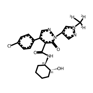 [2H]C([2H])([2H])n1cc(-n2ncc(-c3ccc(Cl)cc3)c(C(=O)N[C@@H]3CCCC[C@H]3O)c2=O)cn1